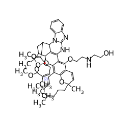 COC(=O)/C(C)=C\CC12OC(C)(C)C3CC(C1=O)C1C4=C(Nc5nc6ccccc6n51)c1c(OCCNCCO)c5c(c(CC=C(C)C)c1OC432)OC(C)(CCC=C(C)C)C=C5